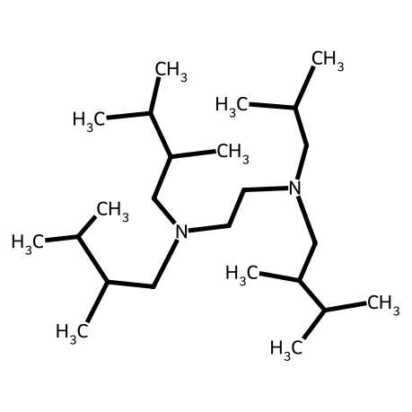 CC(C)CN(CCN(CC(C)C(C)C)CC(C)C(C)C)CC(C)C(C)C